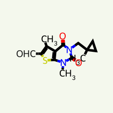 Cc1c(C=O)sc2c1c(=O)n(CC1(C)CC1)c(=O)n2C